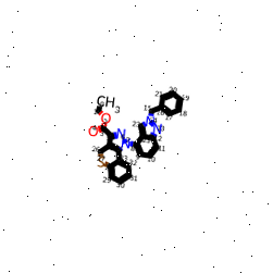 CCOC(=O)c1nn(-c2cccc3nn(Cc4ccccc4)cc23)c2c1CSc1ccccc1-2